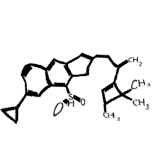 C=C(CC1Cc2cc3ccc(C4CC4)cc3c([SH](=O)=O)c2C1)C1=CC(C)C1(C)C